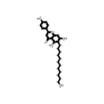 O=c1cc(-c2ccc(O)cc2)oc2cc(O)c(CCCCCCCCCCCCO)c(O)c12